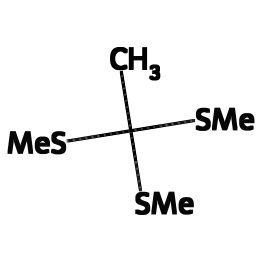 CSC(C)(SC)SC